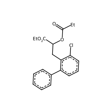 CCOC(=O)C(Cc1c(Cl)cccc1-c1ccccc1)OC(=O)CC